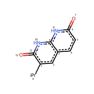 CC(C)c1cc2ccc(=O)[nH]c2[nH]c1=O